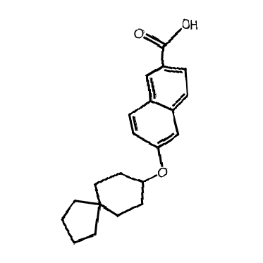 O=C(O)c1ccc2cc(OC3CCC4(CCCC4)CC3)ccc2c1